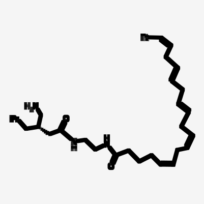 CC/C=C\CC=CCC=CC/C=C\C/C=C\CCCC(=O)NCCNC(=O)C[C@@H](CN)CC(C)C